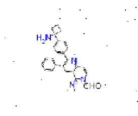 C/N=c1/c2cc(-c3ccccc3)c(-c3ccc(C4(N)CCC4)cc3)nc2ccn1C=O